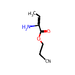 CC=C(N)C(=O)OCCC#N